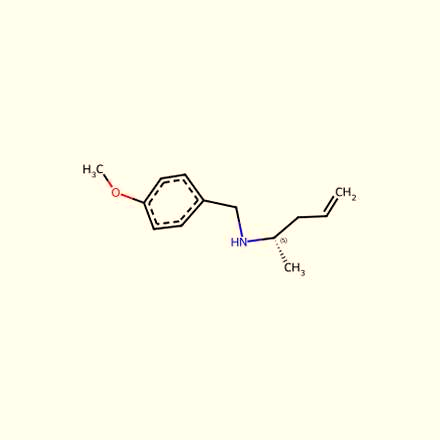 C=CC[C@H](C)NCc1ccc(OC)cc1